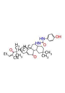 CC/C=C(/C#N)C(=O)C(C)(C)[C@@H]1CC[C@]2(C)C(=CC(=O)C3C4CC(C)(C)CC[C@]4(NC(=O)Nc4ccc(O)cc4)CC[C@]32C)C1